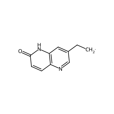 [CH2]Cc1cnc2ccc(=O)[nH]c2c1